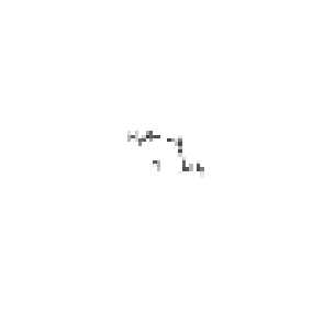 [AlH2][O][AlH2].[P]